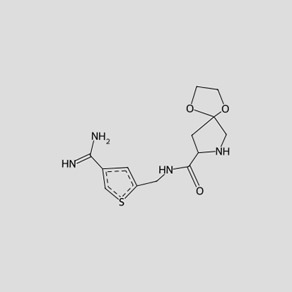 N=C(N)c1csc(CNC(=O)C2CC3(CN2)OCCO3)c1